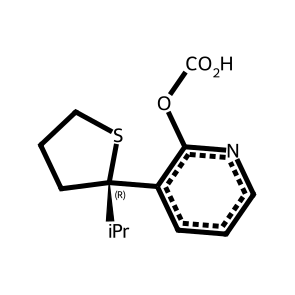 CC(C)[C@@]1(c2cccnc2OC(=O)O)CCCS1